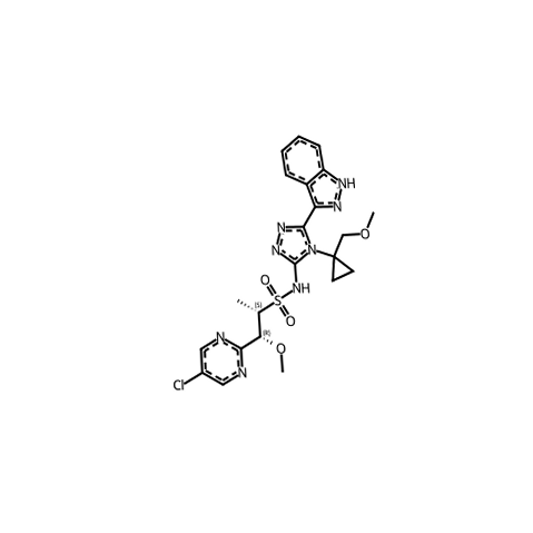 COCC1(n2c(NS(=O)(=O)[C@@H](C)[C@H](OC)c3ncc(Cl)cn3)nnc2-c2n[nH]c3ccccc23)CC1